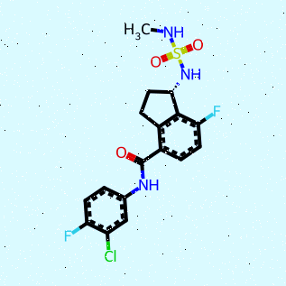 CNS(=O)(=O)N[C@H]1CCc2c(C(=O)Nc3ccc(F)c(Cl)c3)ccc(F)c21